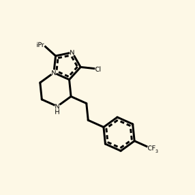 CC(C)c1nc(Cl)c2n1CCNC2CCc1ccc(C(F)(F)F)cc1